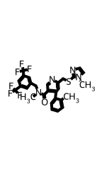 Cc1ccccc1-c1cc(CSc2nccn2C)ncc1C(=O)N(C)Cc1cc(C(F)(F)F)cc(C(F)(F)F)c1